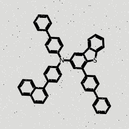 c1ccc(-c2ccc(-c3cc(N(c4ccc(-c5ccccc5)cc4)c4ccc(-c5cccc6ccccc56)cc4)cc4c3sc3ccccc34)cc2)cc1